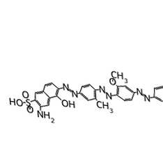 COc1cc(N=Nc2ccccc2)ccc1N=Nc1ccc(N=Nc2ccc3cc(S(=O)(=O)O)c(N)cc3c2O)cc1C